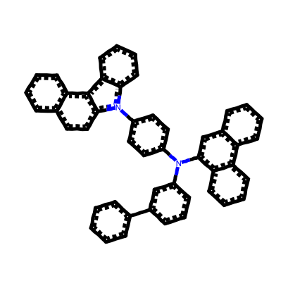 c1ccc(-c2cccc(N(c3ccc(-n4c5ccccc5c5c6ccccc6ccc54)cc3)c3cc4ccccc4c4ccccc34)c2)cc1